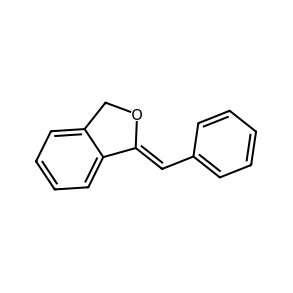 C(=C1/OCc2ccccc21)/c1ccccc1